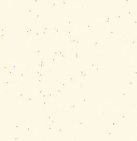 CCN(CC)C(CC(=O)O)C(C)C